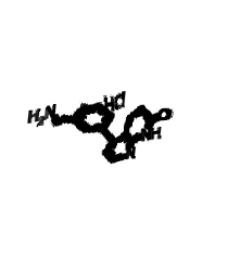 Cl.NCc1cccc(-c2ccnc3[nH]c(=O)ccc23)c1